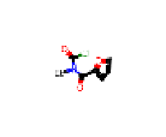 CCN(C(=O)Cl)C(=O)c1ccco1